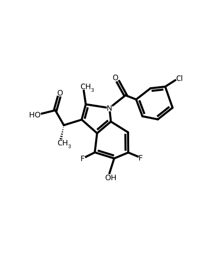 Cc1c([C@H](C)C(=O)O)c2c(F)c(O)c(F)cc2n1C(=O)c1cccc(Cl)c1